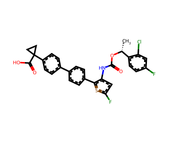 C[C@@H](OC(=O)Nc1cc(F)sc1-c1ccc(-c2ccc(C3(C(=O)O)CC3)cc2)cc1)c1ccc(F)cc1Cl